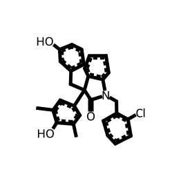 Cc1cc(C2(Cc3cccc(O)c3)C(=O)N(Cc3ccccc3Cl)c3ccccc32)cc(C)c1O